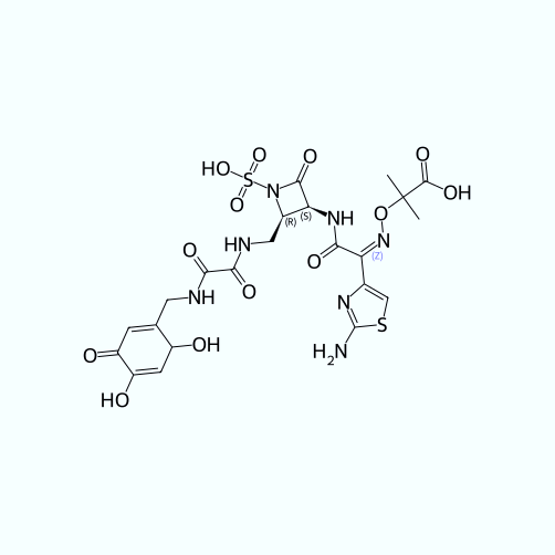 CC(C)(O/N=C(\C(=O)N[C@@H]1C(=O)N(S(=O)(=O)O)[C@@H]1CNC(=O)C(=O)NCC1=CC(=O)C(O)=CC1O)c1csc(N)n1)C(=O)O